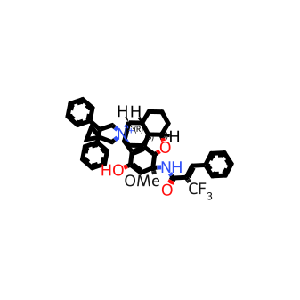 COC1(NC(=O)C(=Cc2ccccc2)C(F)(F)F)C=C(O)C2=C3C1O[C@H]1CCC[C@H]4[C@@H](C2)[N+](CC2CC2)(CC(c2ccccc2)c2ccccc2)CC[C@]314